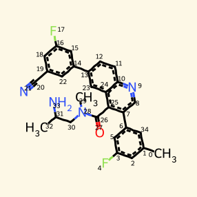 Cc1cc(F)cc(-c2cnc3ccc(-c4cc(F)cc(C#N)c4)cc3c2C(=O)N(C)CC(C)N)c1